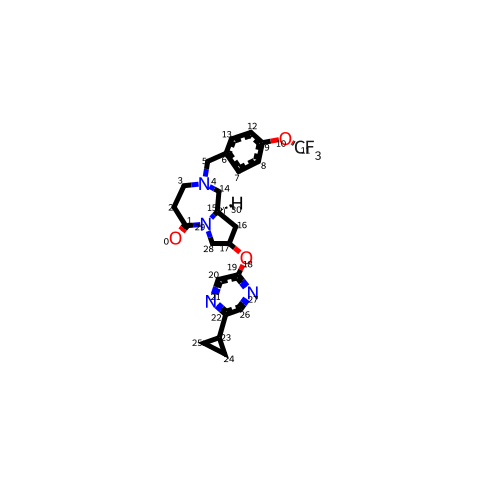 O=C1CCN(Cc2ccc(OC(F)(F)F)cc2)C[C@H]2CC(Oc3cnc(C4CC4)cn3)CN12